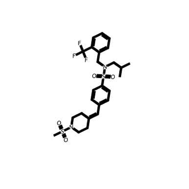 CC(C)CN(Cc1ccccc1C(F)(F)F)S(=O)(=O)c1ccc(C=C2CCN(S(C)(=O)=O)CC2)cc1